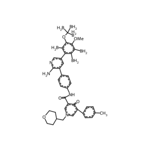 Bc1c(B)c(-c2cnc(N)c(-c3ccc(NC(=O)c4cn(CC5CCOCC5)cc(-c5ccc(C)cc5)c4=O)cc3)c2)c(B)c(OC(B)(B)B)c1OC